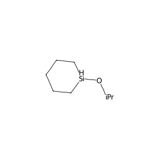 CC(C)O[SiH]1CCCCC1